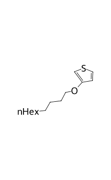 CCCCCCCCCCOc1ccsc1